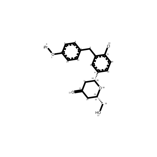 CC(C)Oc1ccc(Cc2cc([C@H]3CC(=O)C[C@@H](CO)O3)ccc2Cl)cc1